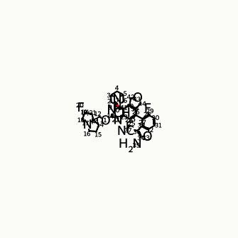 CN1CC2CC(C1)N2c1nc(OC[C@@]23CCCN2C[C@H](F)C3)nc2c(F)c(-c3c(F)ccc4oc(N)c(C#N)c34)c3c(c12)COC3